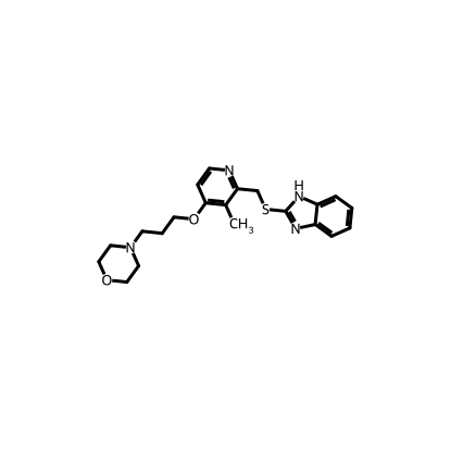 Cc1c(OCCCN2CCOCC2)ccnc1CSc1nc2ccccc2[nH]1